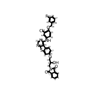 O=C1c2ccccc2C(=O)N1CC(O)COc1ccc2c(c1)sc1ncnc(Nc3ccc(OCc4cccc(F)c4)c(Cl)c3)c12